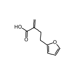 C=C(CCc1ccco1)C(=O)O